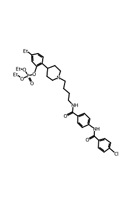 CCOP(=O)(OCC)Oc1cc(CC)ccc1C1CCN(CCCCNC(=O)c2ccc(NC(=O)c3ccc(Cl)cc3)cc2)CC1